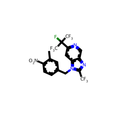 Cc1cc(Cn2c(C(F)(F)F)nc3cnc(C(F)(C(F)(F)F)C(F)(F)F)cc32)ccc1[N+](=O)[O-]